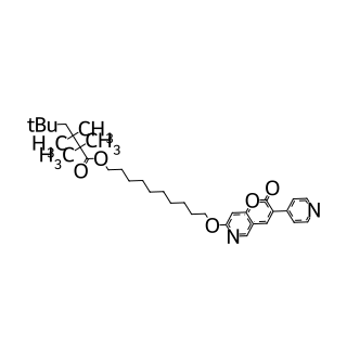 CC(C)(C)CC(C)(C)C(C)(C)C(=O)OCCCCCCCCCCOc1cc2oc(=O)c(-c3ccncc3)cc2cn1